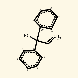 C=CC(C#N)(c1ccccc1)c1ccccc1